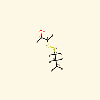 CC(O)C(C)SSC(C)(C)C(C)(C)C(C)C